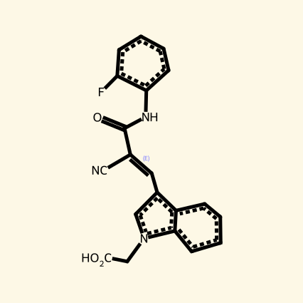 N#C/C(=C\c1cn(CC(=O)O)c2ccccc12)C(=O)Nc1ccccc1F